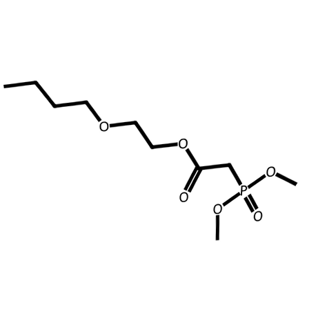 CCCCOCCOC(=O)CP(=O)(OC)OC